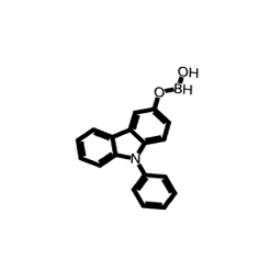 OBOc1ccc2c(c1)c1ccccc1n2-c1ccccc1